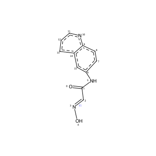 O=C(/C=N/O)Nc1ccc2ncccc2c1